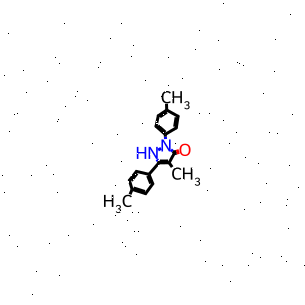 Cc1ccc(-c2[nH]n(-c3ccc(C)cc3)c(=O)c2C)cc1